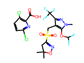 Cn1nc(C(F)(F)F)c(CS(=O)(=O)C2=NOC(C)(C)C2)c1OC(F)F.O=C(O)c1nc(Cl)ccc1Cl